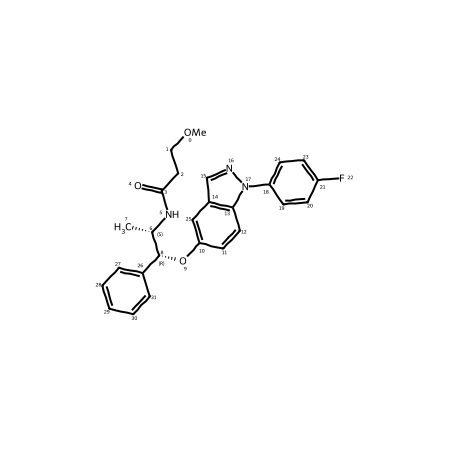 COCCC(=O)N[C@@H](C)[C@H](Oc1ccc2c(cnn2-c2ccc(F)cc2)c1)c1ccccc1